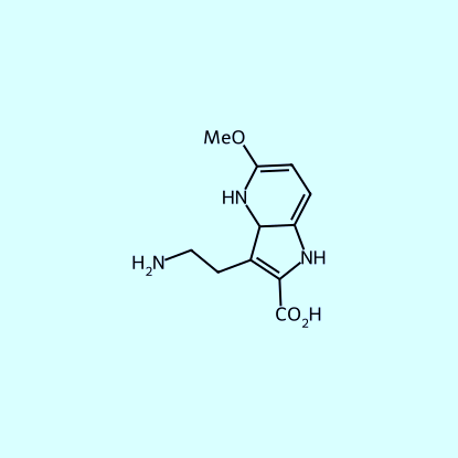 COC1=CC=C2NC(C(=O)O)=C(CCN)C2N1